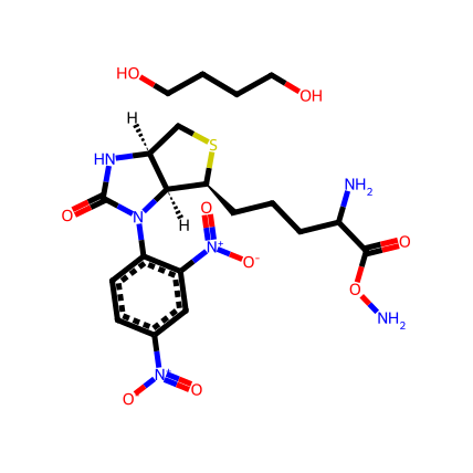 NOC(=O)C(N)CCC[C@@H]1SC[C@@H]2NC(=O)N(c3ccc([N+](=O)[O-])cc3[N+](=O)[O-])[C@@H]21.OCCCCO